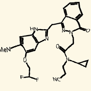 CNc1cc2[nH]c(Cc3nn(CC(=O)N(CCC#N)C4CC4)c(=O)c4ccccc34)nc2cc1OCC(F)F